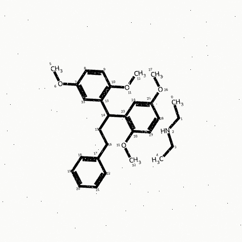 CCNCC.COc1ccc(OC)c(C(CCc2ccccc2)c2cc(OC)ccc2OC)c1